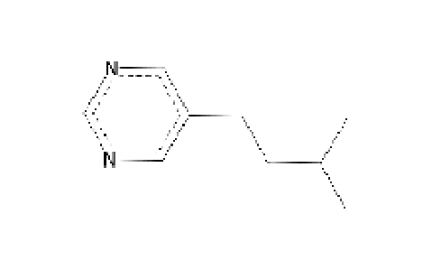 CC(C)CCc1cncnc1